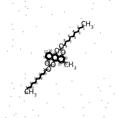 CCCCCCCCCCOC(=O)Oc1c2ccccc2c(OC(=O)OCCCCCCCCCC)c2cc(C)ccc12